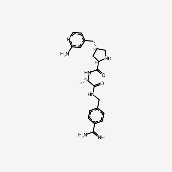 C[C@H](NC(=O)[C@H]1C[C@H](Cc2ccnc(N)c2)CN1)C(=O)NCc1ccc(C(=N)N)cc1